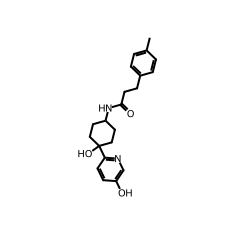 Cc1ccc(CCC(=O)NC2CCC(O)(c3ccc(O)cn3)CC2)cc1